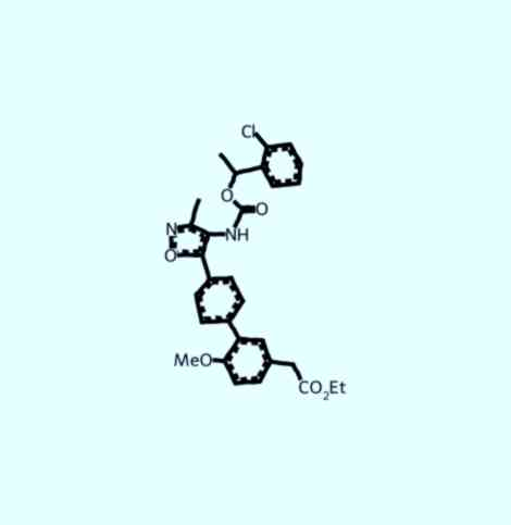 CCOC(=O)Cc1ccc(OC)c(-c2ccc(-c3onc(C)c3NC(=O)OC(C)c3ccccc3Cl)cc2)c1